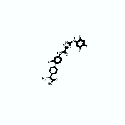 C[C@H](C(=O)O)[C@H]1CC[C@H](c2ccc(NC(=O)c3nnc(Nc4cc(F)c(F)cc4F)o3)cc2Cl)CC1